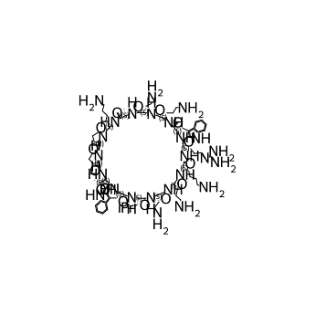 CC(C)C[C@@H]1NC(=O)[C@H](Cc2c[nH]c3ccccc23)NC(=O)[C@H]([C@@H](C)O)NC(=O)[C@@H]2CCCN2C(=O)[C@H]2CCCN2C(=O)[C@H](CCCCN)NC(=O)[C@H](C)NC(=O)[C@H](CCN)NC(=O)[C@H](CCCN)NC(=O)[C@H](Cc2c[nH]c3ccccc23)NC(=O)[C@H](CCCN=C(N)N)NC(=O)[C@H](CCCCN)NC(=O)[C@H](CCCN)NC(=O)[C@H](CCN)NC1=O